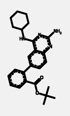 CC(C)(C)OC(=O)c1ccccc1-c1ccc2nc(N)nc(NC3CCCCC3)c2c1